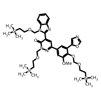 COc1cc(-c2cc(-c3nc4ccccc4n3COCC[Si](C)(C)C)c(=O)n(COCC[Si](C)(C)C)n2)cc(-c2cnco2)c1OCOCC[Si](C)(C)C